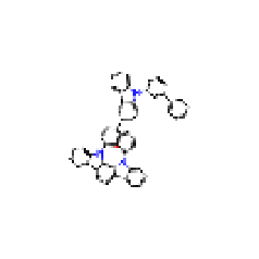 c1ccc(-c2cccc(-n3c4ccccc4c4cc(-c5ccc(-n6c7ccccc7c7ccc8c9ccccc9n(-c9ccccc9)c8c76)cc5)ccc43)c2)cc1